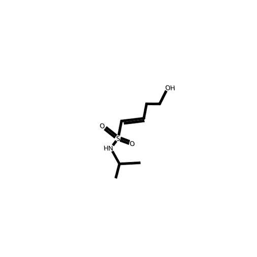 CC(C)NS(=O)(=O)/C=C/CCO